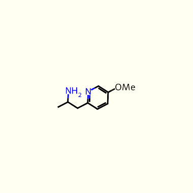 COc1ccc(CC(C)N)nc1